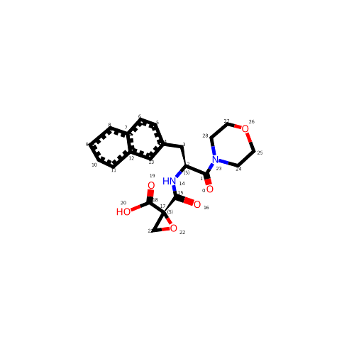 O=C([C@H](Cc1ccc2ccccc2c1)NC(=O)[C@]1(C(=O)O)CO1)N1CCOCC1